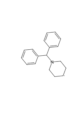 [CH]1CCN(C(c2ccccc2)c2ccccc2)CC1